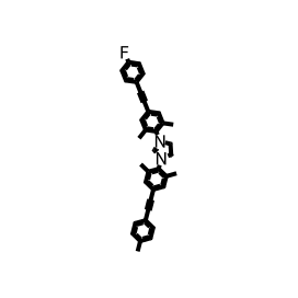 Cc1ccc(C#Cc2cc(C)c([N+]3=CN(c4c(C)cc(C#Cc5ccc(F)cc5)cc4C)CC3)c(C)c2)cc1